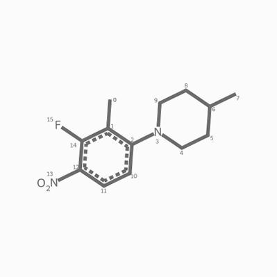 Cc1c(N2CCC(C)CC2)ccc([N+](=O)[O-])c1F